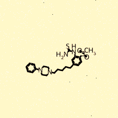 CS(=O)(=O)c1ccc(CCCCCN2CCN(c3ccccc3)CC2)cc1NC(N)=S